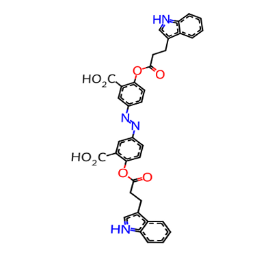 O=C(CCc1c[nH]c2ccccc12)Oc1ccc(/N=N/c2ccc(OC(=O)CCc3c[nH]c4ccccc34)c(C(=O)O)c2)cc1C(=O)O